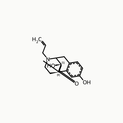 C=CCN1CC[C@]23CC(=O)CC[C@@]2(O)C1Cc1ccc(O)cc13